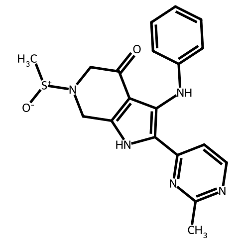 Cc1nccc(-c2[nH]c3c(c2Nc2ccccc2)C(=O)CN([S+](C)[O-])C3)n1